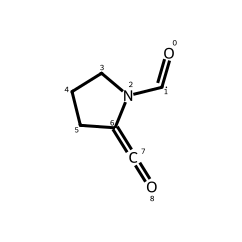 O=[C]N1CCCC1=C=O